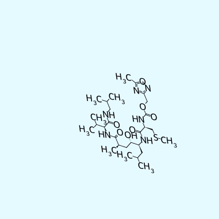 CSC[C@H](NC(=O)OCc1noc(C)n1)C(=O)N[C@@H](CC(C)C)[C@@H](O)C[C@@H](C)C(=O)N[C@H](C(=O)NCC(C)C)C(C)C